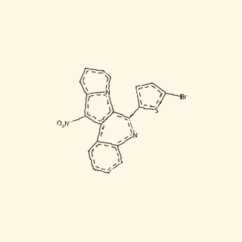 O=[N+]([O-])c1c2c3ccccc3nc(-c3ccc(Br)s3)c2n2ccccc12